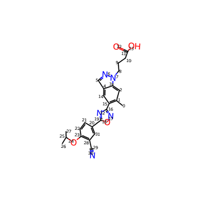 Cc1cc2c(cnn2CCCC(=O)O)cc1-c1noc(-c2ccc(OC(C)C)c(C#N)c2)n1